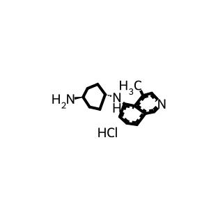 Cc1cncc2cccc(N[C@H]3CC[C@H](N)CC3)c12.Cl